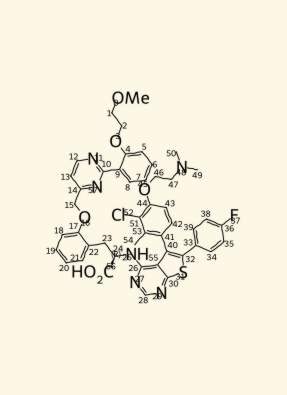 COCCOc1ccccc1-c1nccc(COc2ccccc2C[C@@H](Nc2ncnc3sc(-c4ccc(F)cc4)c(-c4ccc(OCCN(C)C)c(Cl)c4C)c23)C(=O)O)n1